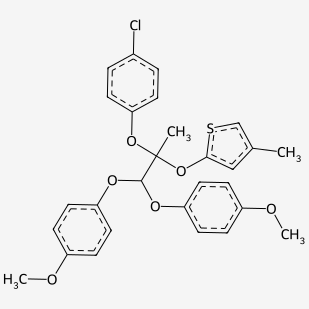 COc1ccc(OC(Oc2ccc(OC)cc2)C(C)(Oc2ccc(Cl)cc2)Oc2cc(C)cs2)cc1